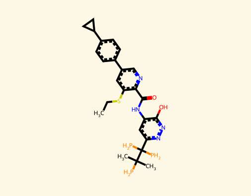 CCSc1cc(-c2ccc(C3CC3)cc2)cnc1C(=O)Nc1cc(C(P)(P)C(C)(C)P)nnc1O